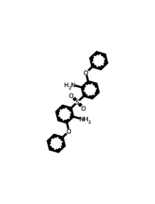 Nc1c(Oc2ccccc2)cccc1S(=O)(=O)c1cccc(Oc2ccccc2)c1N